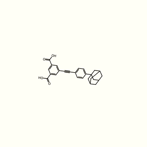 O=C(O)c1cc(C#Cc2ccc(C34CC5CC(CC(C5)C3)C4)cc2)cc(C(=O)O)c1